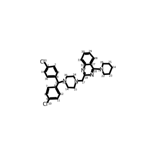 Clc1ccc(C(c2ccc(Cl)cc2)N2CCN(Cc3nc(N4CCCCC4)c4ccccc4n3)CC2)cc1